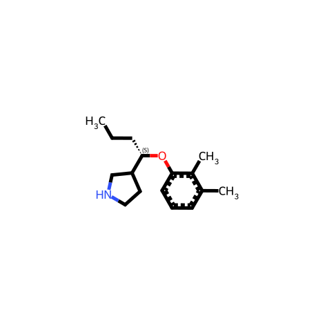 CCC[C@H](Oc1cccc(C)c1C)C1CCNC1